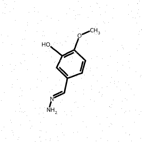 COc1ccc(C=NN)cc1O